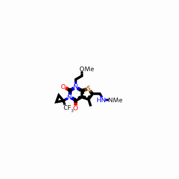 CNNCc1sc2c(c1C)c(=O)n(C1(C(F)(F)F)CC1)c(=O)n2CCOC